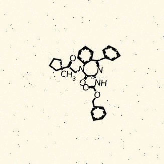 CC1(C(=O)CN2C(=O)[C@@H](NC(=O)OCc3ccccc3)N=C(c3ccccc3)c3ccccc32)CCCC1